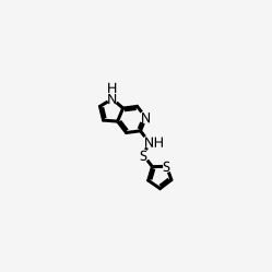 c1csc(SNc2cc3cc[nH]c3cn2)c1